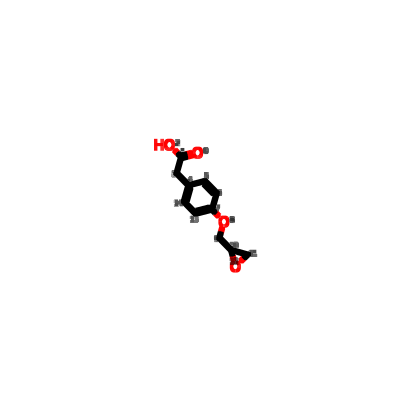 O=C(O)Cc1ccc(OCC2CO2)cc1